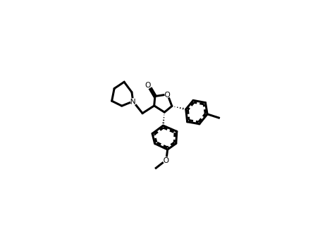 COc1ccc([C@@H]2C(CN3CCCCC3)C(=O)O[C@@H]2c2ccc(C)cc2)cc1